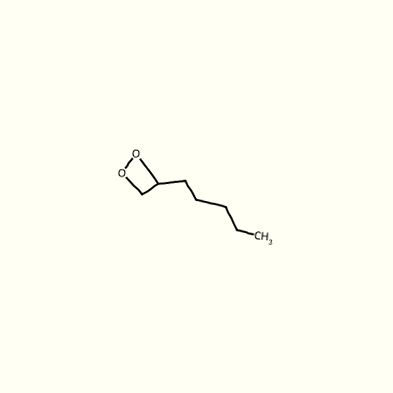 CCCCCC1COO1